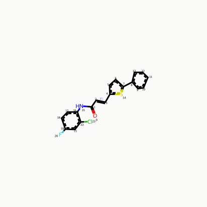 O=C(/C=C/c1ccc(-c2ccccc2)s1)Nc1ccc(F)cc1Cl